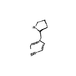 C#C/C=C\C(=C/C)C1CCCN1